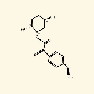 C=Cc1ccc(C(=O)C(=O)O[C@@H]2C[C@H](C)CC[C@H]2C(C)C)cc1